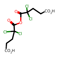 O=C(O)CCC(Cl)(Cl)C(=O)OC(=O)C(Cl)(Cl)CCC(=O)O